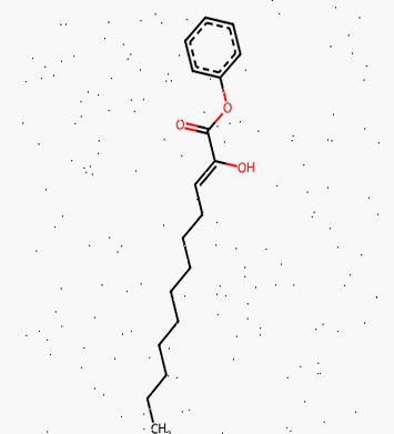 CCCCCCCCCC=C(O)C(=O)Oc1ccccc1